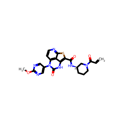 C=CC(=O)N1CCC[C@@H](NC(=O)c2sc3nccc4c3c2NC(=O)N4c2cnc(OC)nc2)C1